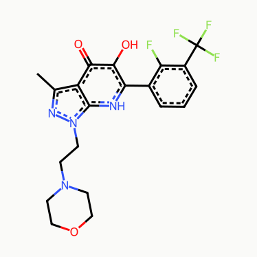 Cc1nn(CCN2CCOCC2)c2[nH]c(-c3cccc(C(F)(F)F)c3F)c(O)c(=O)c12